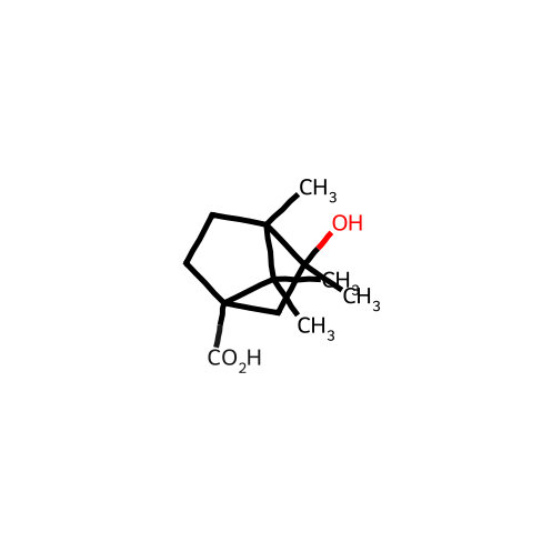 CC1(O)CC2(C(=O)O)CCC1(C)C2(C)C